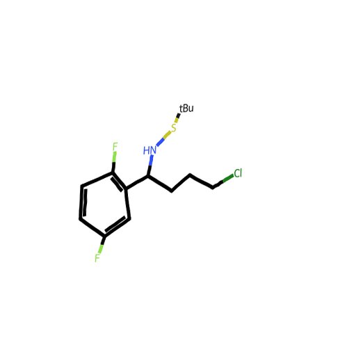 CC(C)(C)SNC(CCCCl)c1cc(F)ccc1F